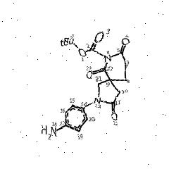 CC(C)(C)OC(=O)N1C(=O)CCC2(CC(=O)N(c3ccc(N)cc3)C2)C1=O